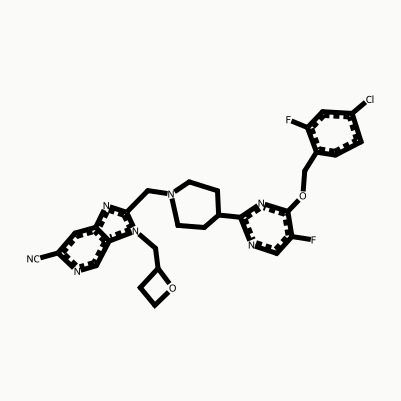 N#Cc1cc2nc(CN3CCC(c4ncc(F)c(OCc5ccc(Cl)cc5F)n4)CC3)n(CC3CCO3)c2cn1